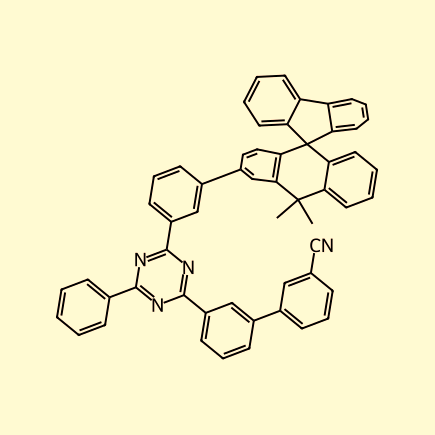 CC1(C)c2ccccc2C2(c3ccccc3-c3ccccc32)c2ccc(-c3cccc(-c4nc(-c5ccccc5)nc(-c5cccc(-c6cccc(C#N)c6)c5)n4)c3)cc21